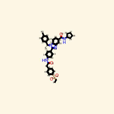 CCS(=O)(=O)c1ccc(CC(=O)Nc2ccc(-c3nc4cc(C(=O)NC5CCCC5)ccc4n3[C@H](C)c3ccc(C)cc3)cc2)cc1